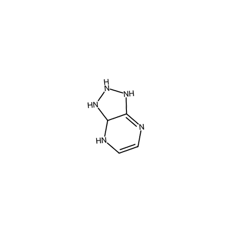 C1=CNC2NNNC2=N1